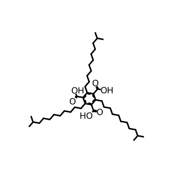 CC(C)CCCCCCCCCc1c(C(=O)O)c(CCCCCCCCCC(C)C)c(C(=O)O)c(CCCCCCCCCC(C)C)c1C(=O)O